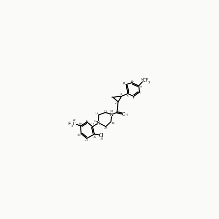 O=C(C1CC1c1ccc(C(F)(F)F)cc1)N1CCN(c2cc(C(F)(F)F)ccc2Cl)CC1